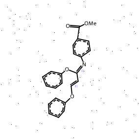 COC(=O)c1ccc(/N=C(/C=C/Oc2ccccc2)Oc2ccccc2)cc1